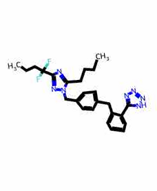 CCCCc1nc(C(F)(F)CCC)nn1Cc1ccc(Cc2ccccc2-c2nnn[nH]2)cc1